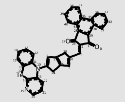 O=C1C(=CC2=CC3=C(C=C(N4c5ccccc5[Te]c5ncccc54)C3)C2)C(=O)c2c1c1ccccc1c1ccccc21